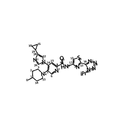 CC1CCN(c2cnc(C(=O)Nc3csc(-c4nnnn4C(C)C)n3)cc2-n2cnc(C3CC3)c2)CC1